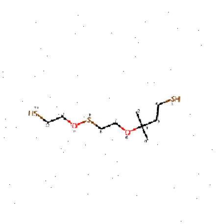 CC(C)(CCS)OCCSOCCS